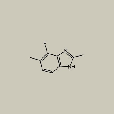 Cc1nc2c(F)c(C)ccc2[nH]1